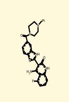 CC(C)N1CCN(C(=O)c2ccc3nc(-c4c(N)c5c(F)cccc5[nH]c4=O)[nH]c3c2)CC1